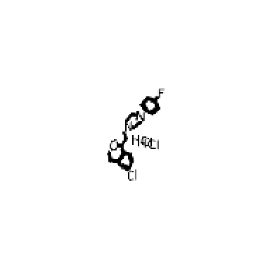 Cl.Cl.Fc1ccc(N2CCN(CCC3OCCc4cc(Cl)ccc43)CC2)cc1